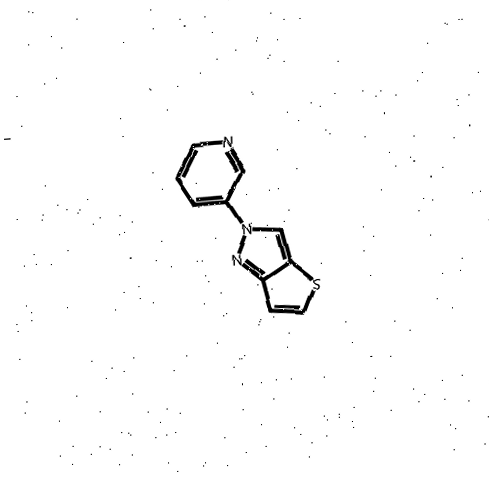 c1cncc(-n2cc3sccc3n2)c1